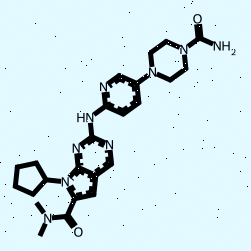 CN(C)C(=O)c1cc2cnc(Nc3ccc(N4CCN(C(N)=O)CC4)cn3)nc2n1C1CCCC1